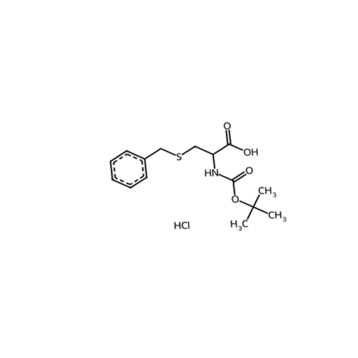 CC(C)(C)OC(=O)NC(CSCc1ccccc1)C(=O)O.Cl